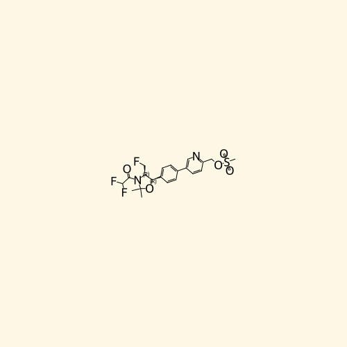 CC1(C)O[C@H](c2ccc(-c3ccc(COS(C)(=O)=O)nc3)cc2)[C@H](CF)N1C(=O)C(F)F